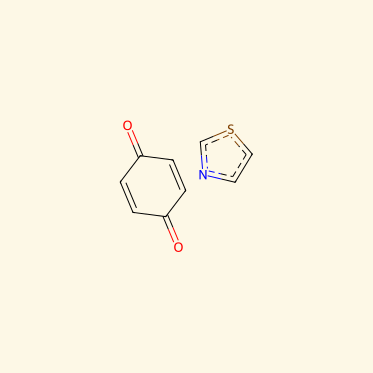 O=C1C=CC(=O)C=C1.c1cscn1